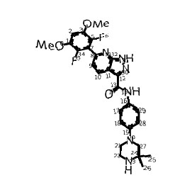 COc1cc(OC)c(F)c(-c2ccc3c(C(=O)Nc4ccc(N5CCNC(C)(C)C5)cc4)n[nH]c3n2)c1F